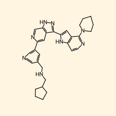 c1cc2[nH]c(-c3n[nH]c4cnc(-c5cncc(CNCC6CCCC6)c5)cc34)cc2c(N2CCCCC2)n1